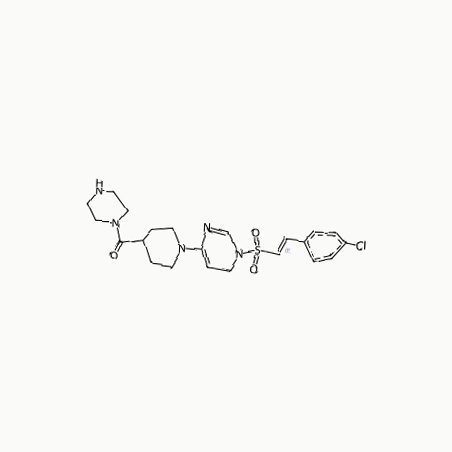 O=C(C1CCN(C2=CCN(S(=O)(=O)/C=C/c3ccc(Cl)cc3)C=N2)CC1)N1CCNCC1